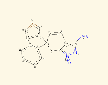 Nc1n[nH]c2c1C=CC(c1ccccc1)(c1ccsc1)C2